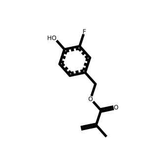 C=C(C)C(=O)OCc1ccc(O)c(F)c1